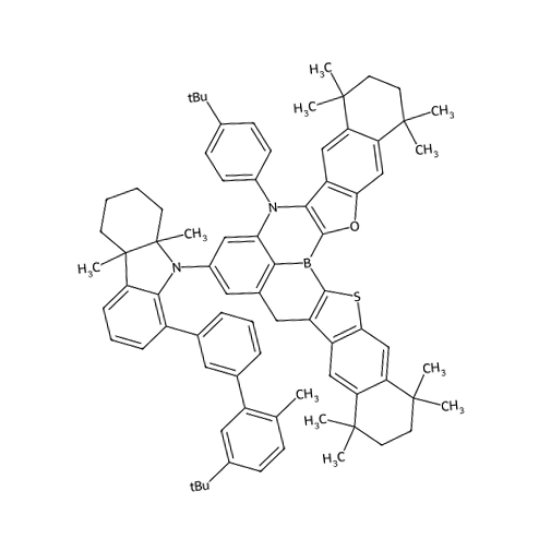 Cc1ccc(C(C)(C)C)cc1-c1cccc(-c2cccc3c2N(c2cc4c5c(c2)N(c2ccc(C(C)(C)C)cc2)c2c(oc6cc7c(cc26)C(C)(C)CCC7(C)C)B5c2sc5cc6c(cc5c2C4)C(C)(C)CCC6(C)C)C2(C)CCCCC32C)c1